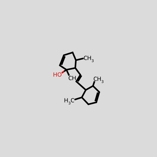 CC1C=CCC(C)C1/C=C/C1C(C)CC=CC1(C)O